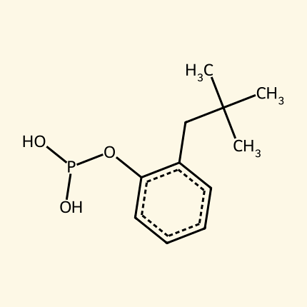 CC(C)(C)Cc1ccccc1OP(O)O